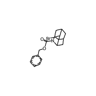 O=C(OCc1ccccc1)N1C2CC3CC(C2)C(Br)C1C3